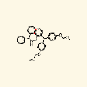 COCOc1ccc(C(c2ccc(OCOC)cc2)c2ccccc2CNC(c2ccccc2)c2ccccc2)cc1